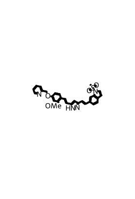 COc1cc(OCc2ccccn2)ccc1C=Cc1cc(C=Cc2ccc3ccn(S(C)(=O)=O)c3c2)n[nH]1